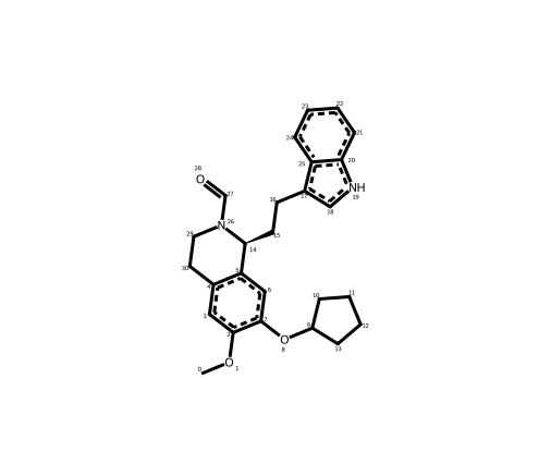 COc1cc2c(cc1OC1CCCC1)[C@H](CCc1c[nH]c3ccccc13)N(C=O)CC2